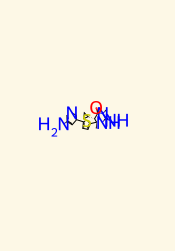 CN1C(=N)N[C@](C)(c2ccc(-c3cncc(N)c3)s2)[C@H](C2CC2)C1=O